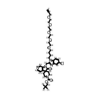 C#CCOCCOCCOCCOCCOCCCCn1c(CN2C(=O)C3(CCN(C(=O)OCC(C)(C)C)CC3)c3ccncc32)nc2cc(Cl)ccc21